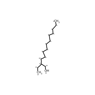 CCCCC[CH]CCCCCC(CC)CO